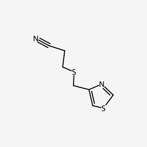 N#CCCSCc1cscn1